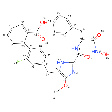 CCOc1nc(C(=O)NC(Cc2ccccc2)C(=O)NO)[nH]c1Cc1ccc(-c2ccccc2C(=O)O)c(F)c1